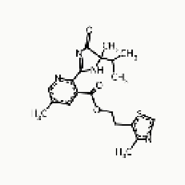 Cc1cnc(C2=NC(=O)C(C)(C(C)C)N2)c(C(=O)OCCc2scnc2C)c1